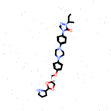 CCC(C)n1ncn(-c2ccc(N3CCN(c4ccc(OC[C@@H]5COC(C6CCCN6)O5)cc4)CC3)cc2)c1=O